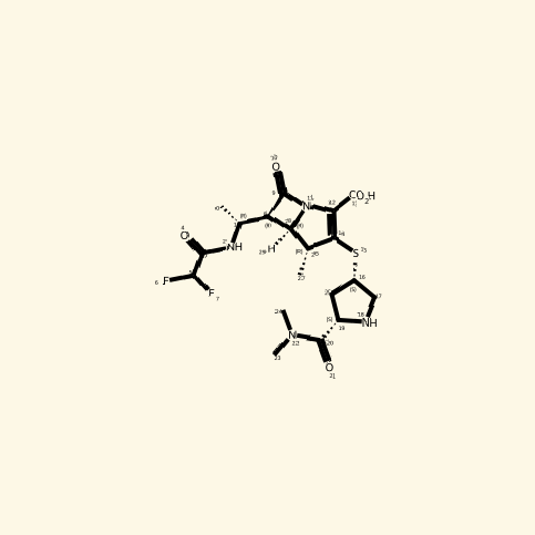 C[C@@H](NC(=O)C(F)F)[C@H]1C(=O)N2C(C(=O)O)=C(S[C@@H]3CN[C@H](C(=O)N(C)C)C3)[C@H](C)[C@@H]12